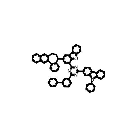 c1ccc(-c2cccc(-c3nc(-c4ccc5c6ccccc6n(-c6ccccc6)c5c4)nc(-c4cc(C5CCc6cc7ccccc7cc6-c6ccccc65)cc5c4oc4ccccc45)n3)c2)cc1